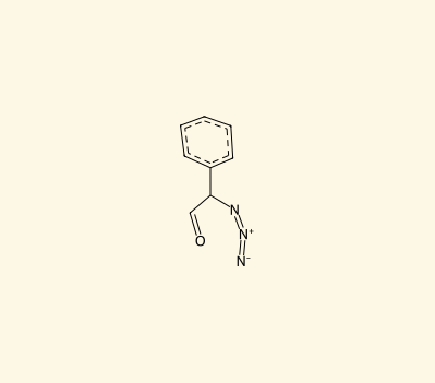 [N-]=[N+]=NC(C=O)c1ccccc1